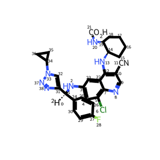 [2H][C@](Nc1cc(Cl)c2ncc(C#N)c(N[C@@H]3CCCC[C@@H]3NC(=O)O)c2c1)(c1ccc(F)cc1)c1cn(C2CC2)nn1